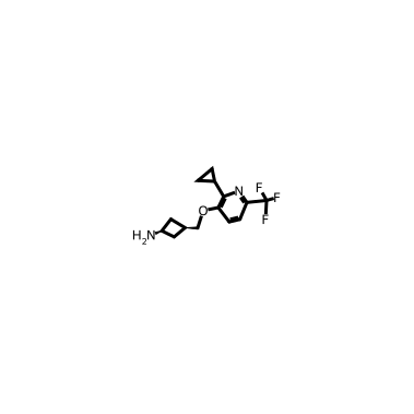 N[C@H]1C[C@@H](COc2ccc(C(F)(F)F)nc2C2CC2)C1